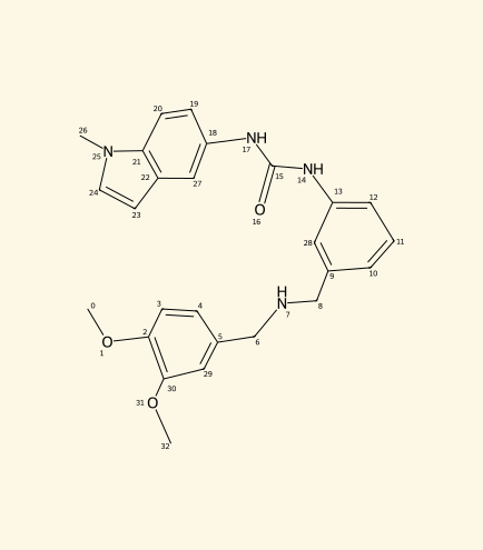 COc1ccc(CNCc2cccc(NC(=O)Nc3ccc4c(ccn4C)c3)c2)cc1OC